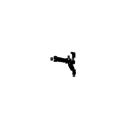 [S]=[Mo]=[S].[Ti]